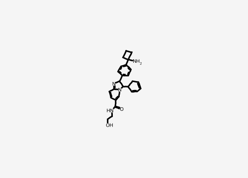 NC1(c2ccc(C3N=C4C=CC(C(=O)NCCO)=CN4C3C3C=CC=CC3)cc2)CCC1